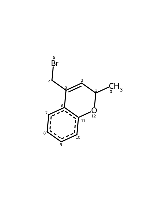 CC1C=C(CBr)c2ccccc2O1